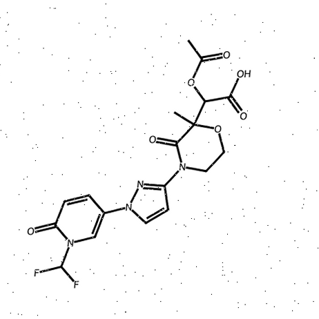 CC(=O)OC(C(=O)O)C1(C)OCCN(c2ccn(-c3ccc(=O)n(C(F)F)c3)n2)C1=O